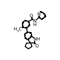 Cc1ccc(C(=O)Nc2ccccn2)cc1-c1ccc2c(c1)NC(=O)C21CCCC1